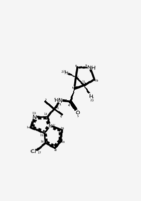 CC(C)(NC(=O)[C@H]1[C@@H]2CNC[C@@H]21)c1ncc2c(Cl)cccn12